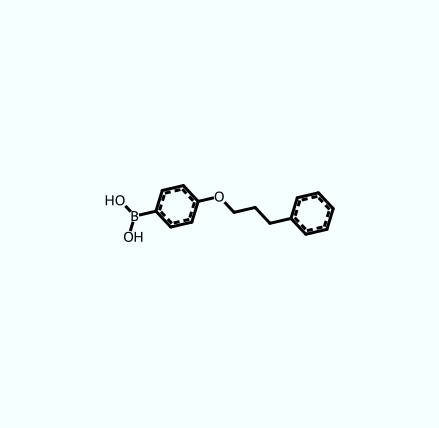 OB(O)c1ccc(OCCCc2ccccc2)cc1